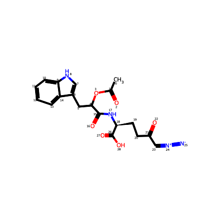 CC(=O)OC(Cc1c[nH]c2ccccc12)C(=O)N[C@@H](CCC(=O)C=[N+]=[N-])C(=O)O